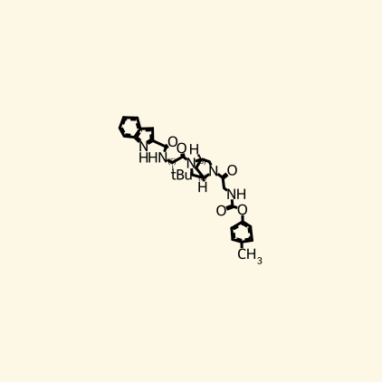 Cc1ccc(OC(=O)NCC(=O)N2C[C@@H]3C[C@H]2CN3C(=O)[C@@H](NC(=O)c2cc3ccccc3[nH]2)C(C)(C)C)cc1